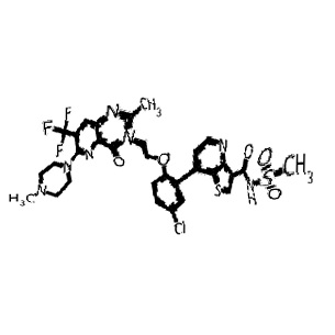 Cc1nc2cc(C(F)(F)F)c(N3CCN(C)CC3)nc2c(=O)n1CCOc1ccc(Cl)cc1-c1ccnc2c(C(=O)NS(C)(=O)=O)csc12